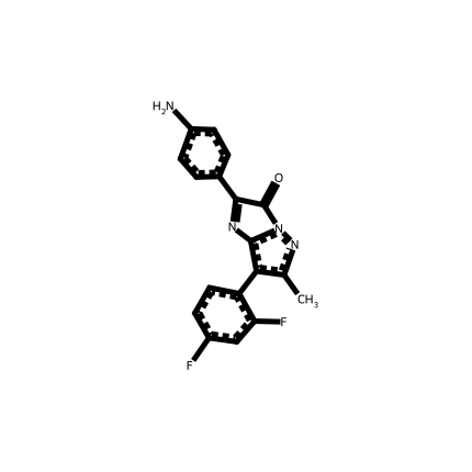 Cc1nn2c(c1-c1ccc(F)cc1F)N=C(c1ccc(N)cc1)C2=O